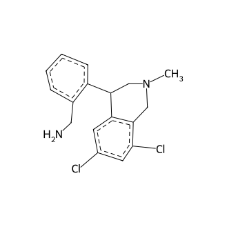 CN1Cc2c(Cl)cc(Cl)cc2C(c2ccccc2CN)C1